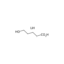 O=C(O)[CH]CCCO.[LiH]